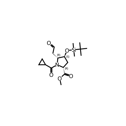 COC(=O)[C@H]1C[C@H](O[Si](C)(C)C(C)(C)C)[C@@H](CC=O)N1C(=O)C1CC1